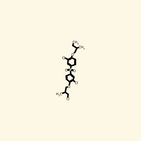 CCC(C)COc1ccc(S(=O)(=O)c2ccc(OCC(C)CCl)c(Cl)c2)cc1Cl